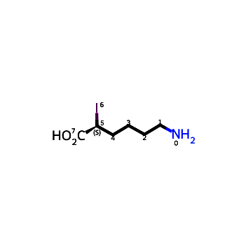 NCCCC[C@H](I)C(=O)O